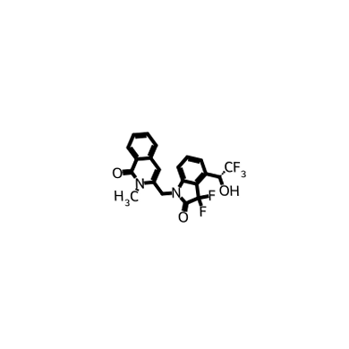 Cn1c(CN2C(=O)C(F)(F)c3c([C@@H](O)C(F)(F)F)cccc32)cc2ccccc2c1=O